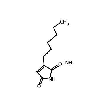 CCCCCCC1=CC(=O)NC1=O.N